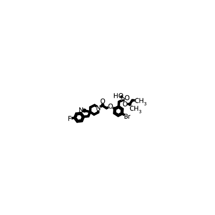 CCC(C)OP(=O)(O)Cc1cc(Br)ccc1OCC(=O)N1CCC(C#N)(Cc2ccc(F)cc2)CC1